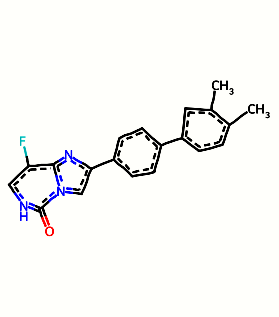 Cc1ccc(-c2ccc(-c3cn4c(=O)[nH]cc(F)c4n3)cc2)cc1C